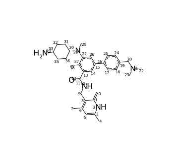 C=C1NC(C)=CC(C)=C1CNC(=O)c1cc(-c2ccc(CN(C)C)cc2)cc(N(C)[C@H]2CC[C@H](N)CC2)c1C